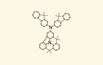 CC1(C)c2ccccc2-c2ccc(N(c3ccc4c(c3)C(C)(C)c3ccccc3-4)c3cc4c5c(c3)c3cccc6c3n5-c3c(cccc3C4(C)C)C6(C)C)cc21